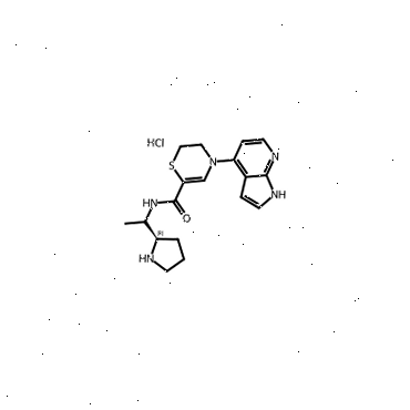 CC(NC(=O)C1=CN(c2ccnc3[nH]ccc23)CCS1)[C@H]1CCCN1.Cl